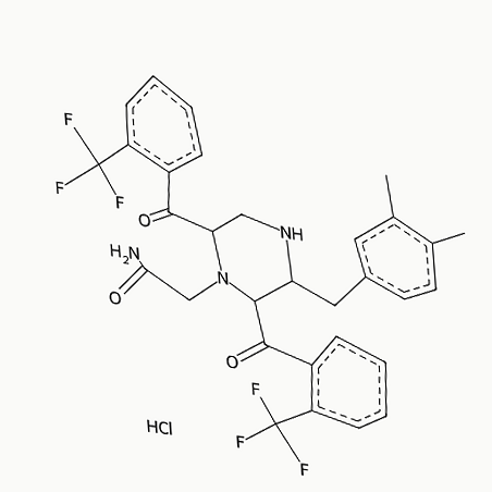 Cc1ccc(CC2NCC(C(=O)c3ccccc3C(F)(F)F)N(CC(N)=O)C2C(=O)c2ccccc2C(F)(F)F)cc1C.Cl